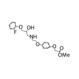 COC(=O)COc1ccc(OCCNCC(O)COc2ccccc2F)cc1